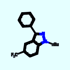 CCCCn1nc(-c2ccccc2)c2cc(C(F)(F)F)ccc21